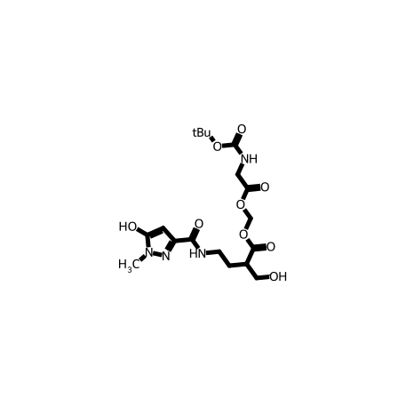 Cn1nc(C(=O)NCCC(CO)C(=O)OCOC(=O)CNC(=O)OC(C)(C)C)cc1O